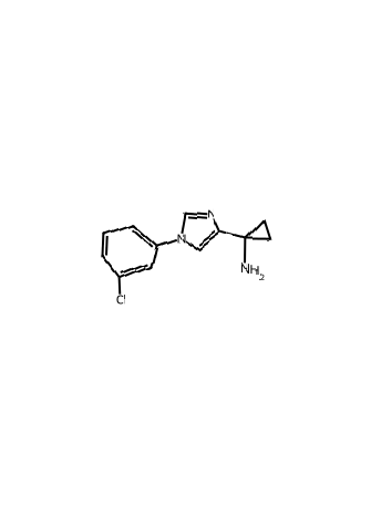 NC1(c2cn(-c3cccc(Cl)c3)cn2)CC1